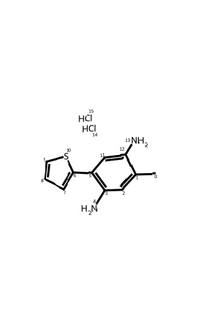 Cc1cc(N)c(-c2cccs2)cc1N.Cl.Cl